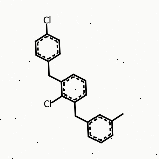 Cc1cccc(Cc2cccc(Cc3ccc(Cl)cc3)c2Cl)c1